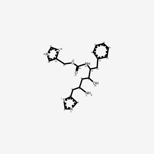 NC(Cc1cncs1)CC(O)C(Cc1ccccc1)NC(=O)OCc1cncs1